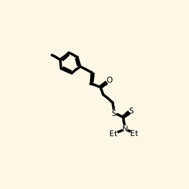 CCN(CC)C(=S)SCCC(=O)/C=C/c1ccc(C)cc1